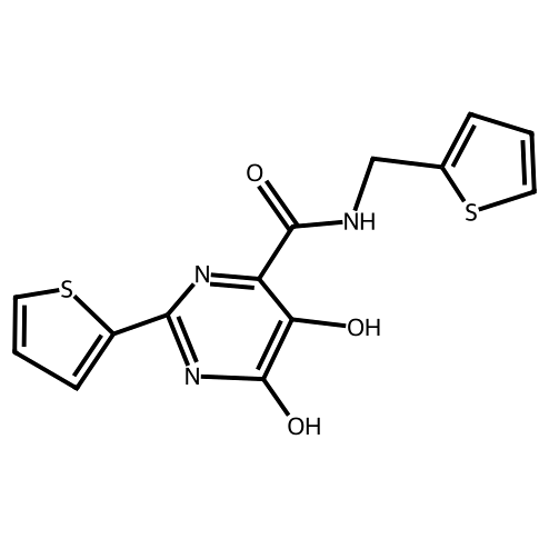 O=C(NCc1cccs1)c1nc(-c2cccs2)nc(O)c1O